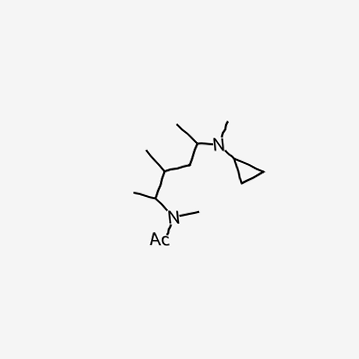 CC(=O)N(C)C(C)C(C)CC(C)N(C)C1CC1